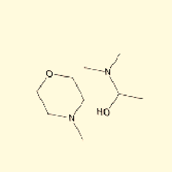 CC(O)N(C)C.CN1CCOCC1